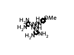 COc1ccc(NNc2nc(N3C[C@@H](N)C[C@H](N)C3)nc(N3C[C@@H](N)C[C@H](N)C3)n2)cc1